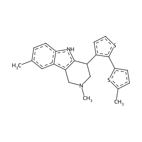 Cc1ccc2[nH]c3c(c2c1)CN(C)CC3c1ccsc1-c1ccc(C)s1